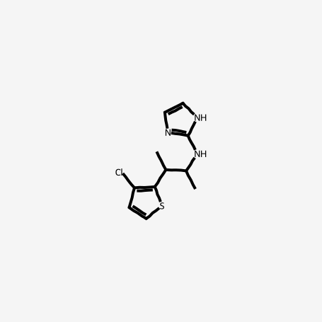 CC(Nc1ncc[nH]1)C(C)c1sccc1Cl